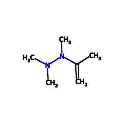 C=C(C)N(C)N(C)C